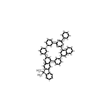 CC1(C)c2ccccc2-c2cc3c(-c4cccc(-c5cc(-c6nc(-c7ccccc7)nc(-c7ccccc7)n6)c6ccccc6c5)c4)cc(-c4ccccc4)nc3cc21